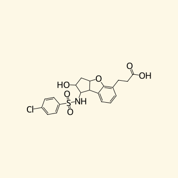 O=C(O)CCc1cccc2c1OC1CC(O)C(NS(=O)(=O)c3ccc(Cl)cc3)C21